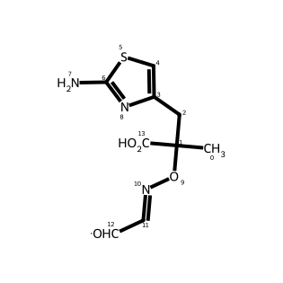 CC(Cc1csc(N)n1)(ON=C[C]=O)C(=O)O